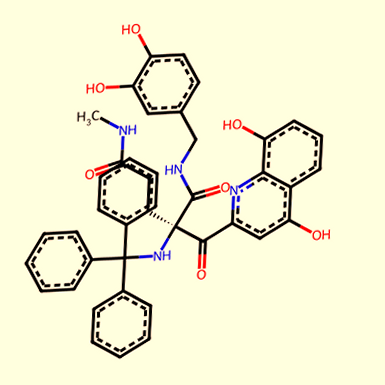 CNC(=O)CC[C@](NC(c1ccccc1)(c1ccccc1)c1ccccc1)(C(=O)NCc1ccc(O)c(O)c1)C(=O)c1cc(O)c2cccc(O)c2n1